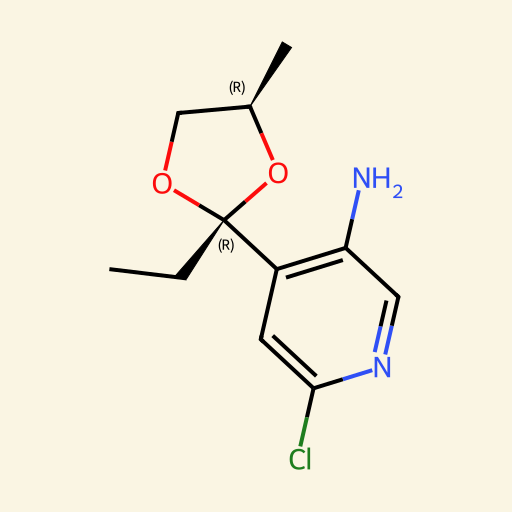 CC[C@@]1(c2cc(Cl)ncc2N)OC[C@@H](C)O1